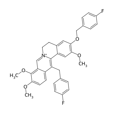 COc1cc2c(cc1OCc1ccc(F)cc1)CC[n+]1cc3c(OC)c(OC)ccc3c(Cc3ccc(F)cc3)c1-2